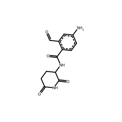 Nc1ccc(C(=O)NC2CCC(=O)NC2=O)c(C=O)c1